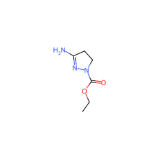 CCOC(=O)N1CCC(N)=N1